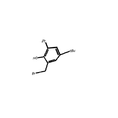 CC(C)c1cc(C(C)(C)C)cc(CBr)c1O